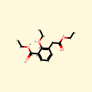 CCOC(=O)Cc1cccc(C(=O)OCC)c1OCC